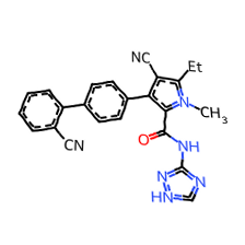 CCc1c(C#N)c(-c2ccc(-c3ccccc3C#N)cc2)c(C(=O)Nc2nc[nH]n2)n1C